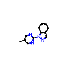 Cc1cnc(-n2ncc3ccccc32)nc1